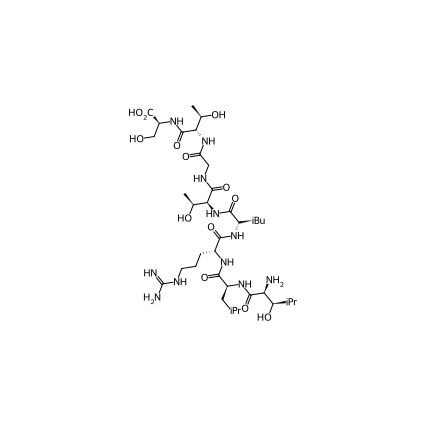 CC[C@H](C)[C@H](NC(=O)[C@@H](CCCNC(=N)N)NC(=O)[C@H](CC(C)C)NC(=O)[C@@H](N)[C@H](O)C(C)C)C(=O)N[C@H](C(=O)NCC(=O)N[C@H](C(=O)N[C@@H](CO)C(=O)O)[C@@H](C)O)[C@H](C)O